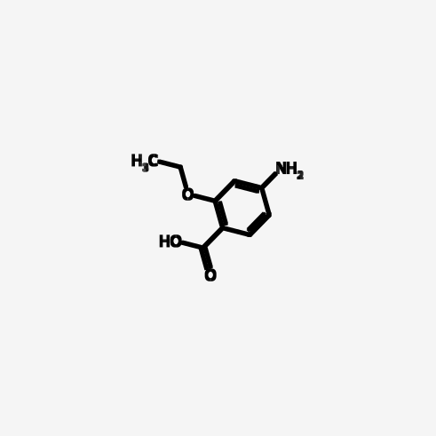 CCOc1cc(N)ccc1C(=O)O